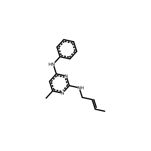 CC=CCNc1nc(C)cc(Nc2ccccc2)n1